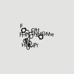 COc1cccc(CNC[C@H](O)[C@H](Cc2cc(F)cc(F)c2)NC(=O)c2coc(NS(=O)(=O)CC(C)C)n2)c1